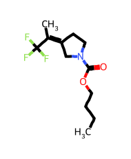 CCCCOC(=O)N1CC/C(=C(\C)C(F)(F)F)C1